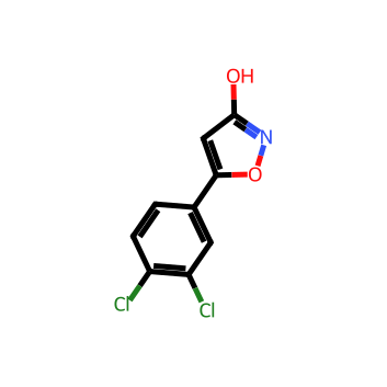 Oc1cc(-c2ccc(Cl)c(Cl)c2)on1